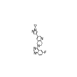 Fc1ccc2ncnc(N3CCc4ncc(-c5cnn(C6CC6)c5)cc4C3)c2c1